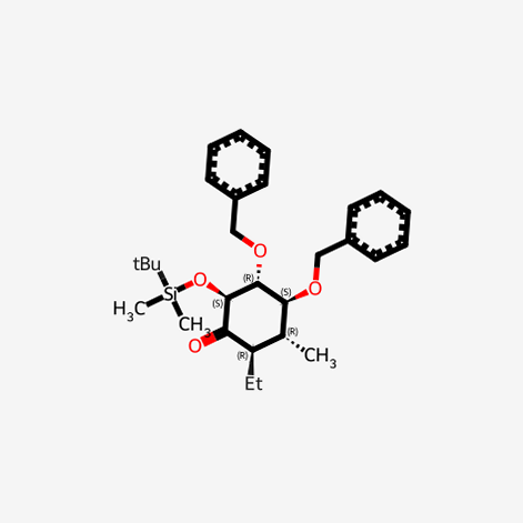 CC[C@H]1C(=O)[C@@H](O[Si](C)(C)C(C)(C)C)[C@H](OCc2ccccc2)[C@@H](OCc2ccccc2)[C@@H]1C